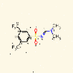 CN(C)C=NS(=O)(=O)c1cc(C(F)(F)F)cc(C(F)(F)F)c1